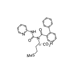 CSCC[C@@H](C(=O)O)N(C(=O)Nc1ccccn1)C(=O)c1ccccc1-c1ccccc1